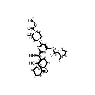 C[C@H](Oc1cc(N2CCN(C(=O)OC(C)(C)C)[C@H](C)C2)nc(C(=N)C2=C(O)[C@]3(CCCCC3=O)CCC2)n1)[C@@H]1CCCN1C